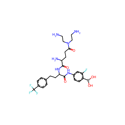 NCCN(CCN)C(=O)CCC(N)C(=O)NC(CCc1ccc(C(F)(F)F)cc1)C(=O)Nc1ccc(B(O)O)c(F)c1